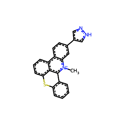 C[n+]1c2c3c(cccc3c3ccc(-c4cn[nH]c4)cc31)Sc1ccccc1-2